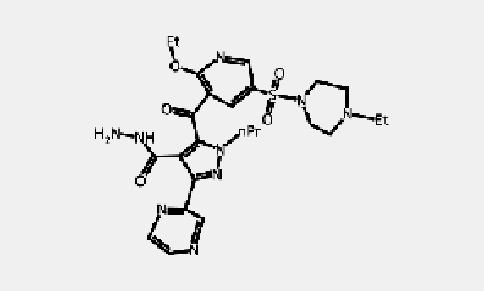 CCCn1nc(-c2cnccn2)c(C(=O)NN)c1C(=O)c1cc(S(=O)(=O)N2CCN(CC)CC2)cnc1OCC